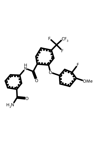 COc1ccc(Oc2cc(C(F)(F)C(F)(F)F)ccc2C(=O)Nc2cccc(C(N)=O)c2)cc1F